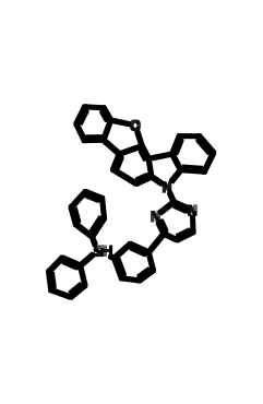 c1ccc([SiH](c2ccccc2)c2cccc(-c3ccnc(-n4c5ccccc5c5c6oc7ccccc7c6ccc54)n3)c2)cc1